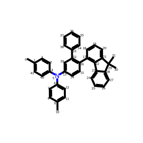 Cc1ccc(N(c2ccc(C)cc2)c2ccc(-c3cccc4c3-c3ccccc3C4(C)C)c(-c3ccccc3)c2)cc1